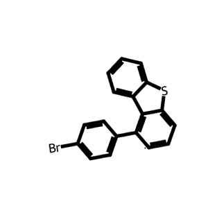 Brc1ccc(-c2[c]ccc3sc4ccccc4c23)cc1